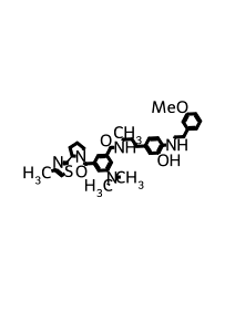 COc1cccc(CCNc2ccc(CC[C@H](C)NC(=O)c3cc(C(=O)N4CCC[C@@H]4c4nc(C)cs4)cc(N(C)C)c3)cc2O)c1